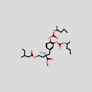 CCCC(C)OC(=O)Oc1cc(C[C@](N)(CCOC(=O)CC(C)CC)C(=O)OC)ccc1OC(=O)O[C@@H](C)CCC